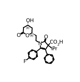 CC(C)C1(C(=O)O)C(=O)N(CC[C@@H]2C[C@@H](O)CC(=O)O2)C(c2ccc(F)cc2)=C1c1ccccc1